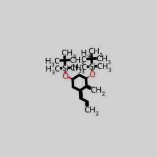 C=C/C=C1/C[C@@H](O[Si](C)(C)C(C)(C)C)C[C@H](O[Si](C)(C)C(C)(C)C)C1=C